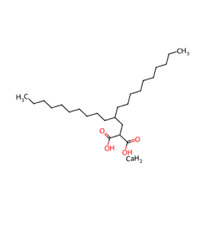 CCCCCCCCCCC(CCCCCCCCCC)CC(C(=O)O)C(=O)O.[CaH2]